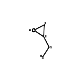 [CH]CC1CO1